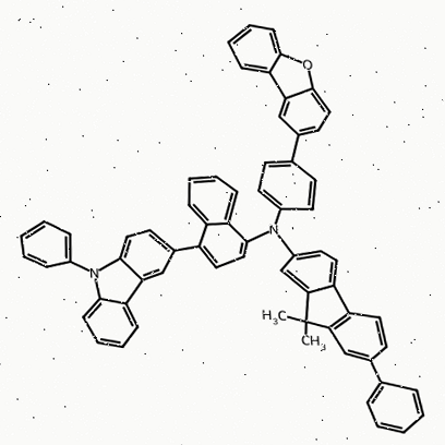 CC1(C)c2cc(-c3ccccc3)ccc2-c2ccc(N(c3ccc(-c4ccc5oc6ccccc6c5c4)cc3)c3ccc(-c4ccc5c(c4)c4ccccc4n5-c4ccccc4)c4ccccc34)cc21